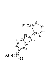 COC(=O)c1ccc2nc(-c3ccccc3C(F)(F)F)cn2c1